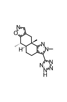 C[C@@H]1c2oncc2C[C@]2(C)c3nn(C)c(-c4nn[nH]n4)c3CC[C@@H]12